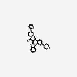 O=C(c1c(=O)c2ccc(N3CCOCC3)nc2n2c1sc1ccccc12)N1CCN(c2nccs2)CC1